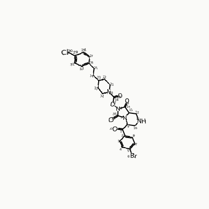 O=C(c1ccc(Br)cc1)C1CNCC2C(=O)N(OC(=O)N3CCC(CCc4ccc(Cl)cc4)CC3)C(=O)N12